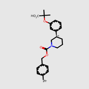 CC(C)c1ccc(COC(=O)N2CCC[C@H](c3cccc(OC(C)(C)C(=O)O)c3)C2)cc1